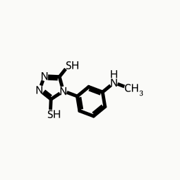 CNc1cccc(-n2c(S)nnc2S)c1